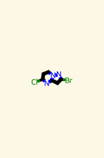 Clc1ccn2nc(Br)cc2n1